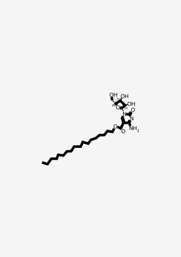 CCCCCCCCCCCCCCCCCCOC(=O)c1cn([C@@H]2O[C@H](CO)[C@@H](O)[C@@H]2O)c(=O)nc1N